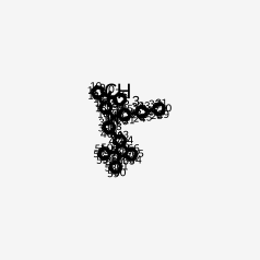 CC1(c2ccccc2)c2ccccc2-c2ccc(N(c3ccc(-c4ccc(-c5ccccc5)cc4)cc3)c3cccc(-c4ccc5c(c4)c(-c4ccccc4)c(-c4ccccc4)c4ccccc45)c3)cc21